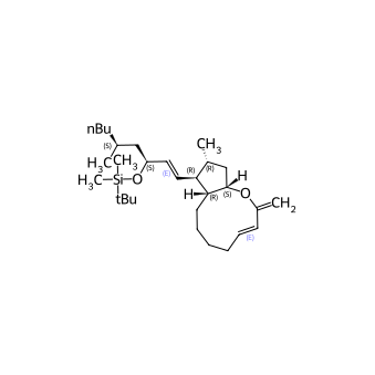 C=C1/C=C/CCCC[C@@H]2[C@@H](/C=C/[C@H](C[C@@H](C)CCCC)O[Si](C)(C)C(C)(C)C)[C@H](C)C[C@@H]2O1